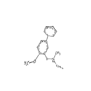 COc1ccc(-c2ccccc2)cc1O[SiH](C)C